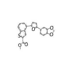 COC(=O)c1cc2c(-c3ccc(-c4ccc5c(c4)OCO5)o3)cccc2s1